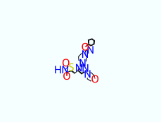 O=C1NC(=O)C(=Cc2cc(N3CCOCC3)nc(N3CCCN(c4nc5ccccc5o4)CC3)n2)S1